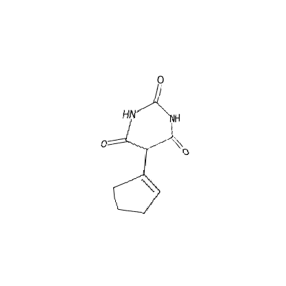 O=C1NC(=O)C(C2=CCCC2)C(=O)N1